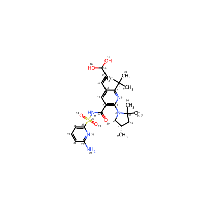 C[C@@H]1CN(c2nc(C(C)(C)C)c(/C=C/C(O)O)cc2C(=O)NS(=O)(=O)c2cccc(N)n2)C(C)(C)C1